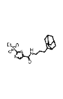 CCS(=O)(=O)c1ncc(C(=O)NCCCC2C3CC4CC(C3)CC2C4)s1